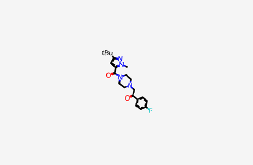 Cn1nc(C(C)(C)C)cc1C(=O)N1CCN(CC(=O)c2ccc(F)cc2)CC1